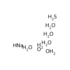 O.O.O.O.O.O.S.[NaH]